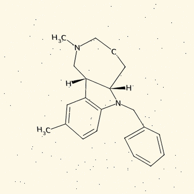 Cc1ccc2c(c1)[C@@H]1CN(C)CCC[C@@H]1N2Cc1ccccc1